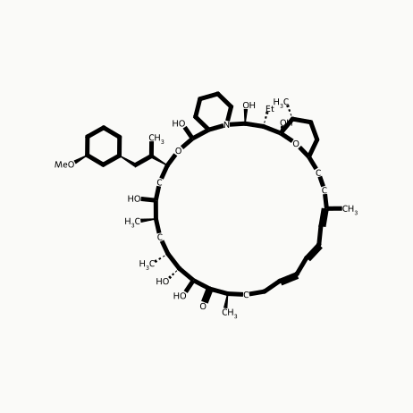 CC[C@H]1[C@H](O)N2CCCCC2C(O)O[C@H](C(C)C[C@@H]2CCC[C@H](OC)C2)CC(O)[C@H](C)C[C@@H](C)[C@@H](O)C(O)C(=O)[C@H](C)CC/C=C/C=C/C=C(\C)CCC2CC[C@@H](C)[C@@]1(O)O2